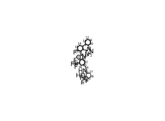 Cn1cnnc1-c1c(-c2ccccc2)ccc(F)c1-c1nc2cc(CNC3CCCC3(O)C(F)(F)F)cc(C(F)(F)F)c2o1